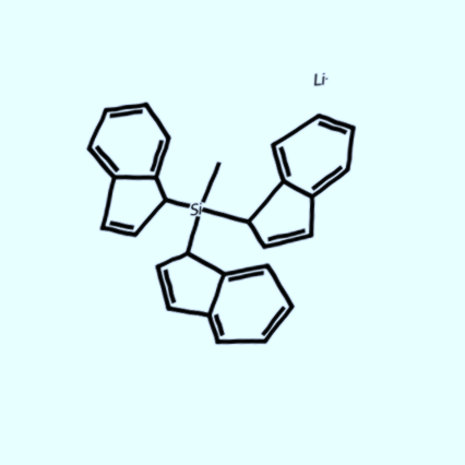 C[Si](C1C=Cc2ccccc21)(C1C=Cc2ccccc21)C1C=Cc2ccccc21.[Li]